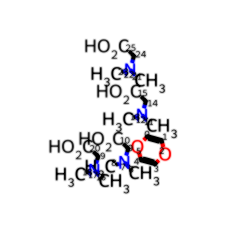 C1=COC=CO1.CN(C)CC(=O)O.CN(C)CC(=O)O.CN(C)CC(=O)O.CN(C)CC(=O)O